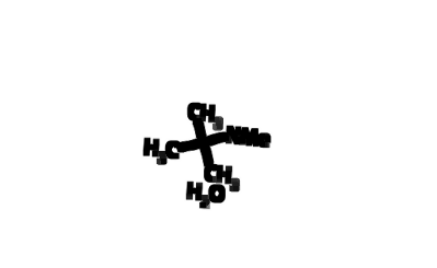 CNC(C)(C)C.O